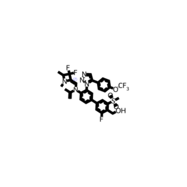 C=C(C)N(/C=C1\N(C)C(C)C1(F)F)c1ccc(-c2cc(F)c(CO)c(S(C)(=O)=O)c2)cc1-n1nncc1-c1ccc(OC(F)(F)F)cc1